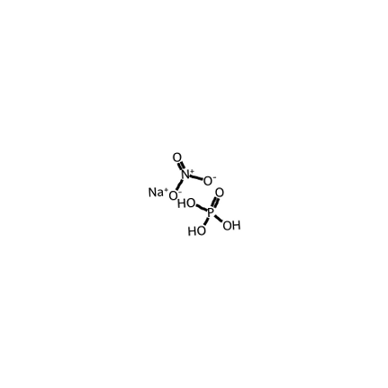 O=P(O)(O)O.O=[N+]([O-])[O-].[Na+]